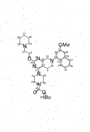 COc1cc(N2CCc3c(nc(OCCN4CCCCC4)nc3N3CCN(C(=O)OC(C)(C)C)CC3)C2)c2ccccc2c1